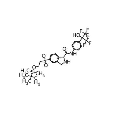 CC(C)(C)[Si](C)(C)OCCS(=O)(=O)c1ccc2c(c1)CNC2C(=O)Nc1ccc(C(O)(C(F)(F)F)C(F)(F)F)cc1